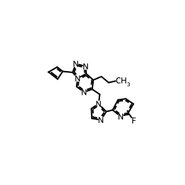 CCCc1c(Cn2ccnc2-c2cccc(F)n2)ncn2c(C3=CC=C3)nnc12